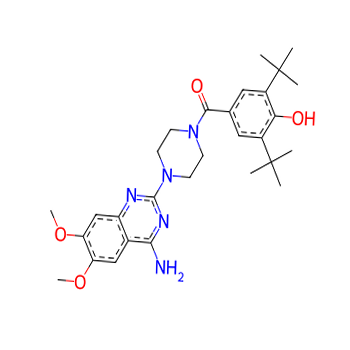 COc1cc2nc(N3CCN(C(=O)c4cc(C(C)(C)C)c(O)c(C(C)(C)C)c4)CC3)nc(N)c2cc1OC